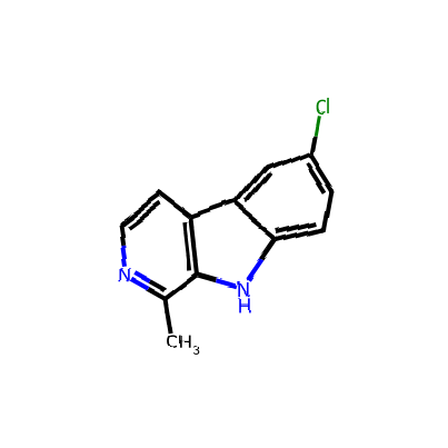 Cc1nccc2c1[nH]c1ccc(Cl)cc12